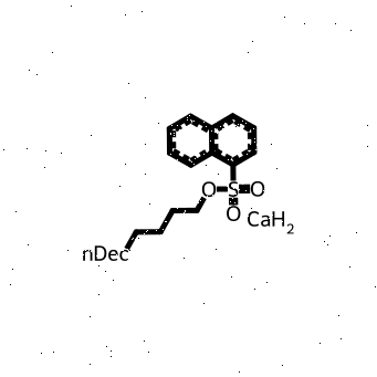 CCCCCCCCCCCCCCOS(=O)(=O)c1cccc2ccccc12.[CaH2]